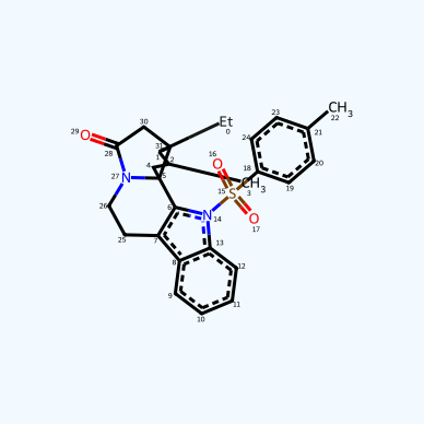 CCC1C(C)CC23c4c(c5ccccc5n4S(=O)(=O)c4ccc(C)cc4)CCN2C(=O)CC13